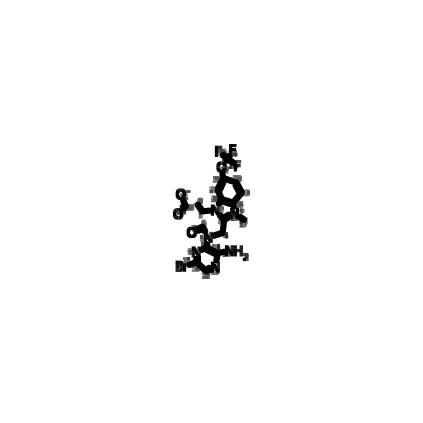 CCn1c(CN(C=O)c2nc(Br)cnc2N)[n+](C)c2ccc(OC(F)(F)F)cc21.O=C[O-]